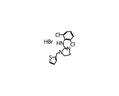 Br.Clc1cccc(Cl)c1NC1=NCCN1Cc1cccs1